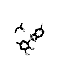 CCC(C)=O.Cc1cc(-n2nc3ccc(Cl)cc3n2)c(O)c(C(C)(C)C)c1